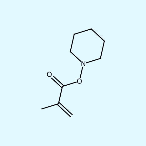 C=C(C)C(=O)ON1CCCCC1